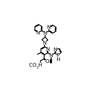 C#CN(c1ncc[pH]1)c1nc(N2CC(N(c3ccccn3)c3ccccn3)C2)cc(C)c1C(=O)CC(=O)O